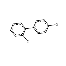 Clc1ccc(-c2[c]cccc2Cl)cc1